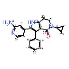 Nc1cc(-c2[nH]c3c(c2-c2ccccc2)C(=O)N(C2CC2)CC3)ccn1